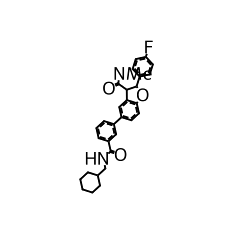 CNC(=O)C1c2cc(-c3cccc(C(=O)NCC4CCCCC4)c3)ccc2OC1c1ccc(F)cc1